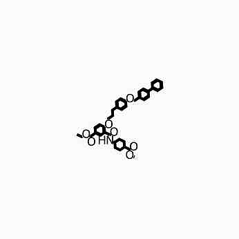 CCOC(=O)c1ccc(OCCCc2ccc(OCc3ccc(-c4ccccc4)cc3)cc2)c(C(=O)NC2CCC(C(=O)OC)CC2)c1